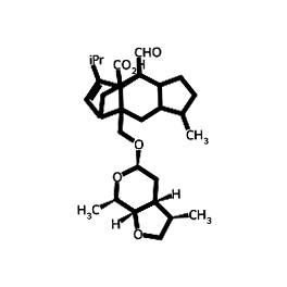 CC(C)C1=CC2CC3(C=O)C4CCC(C)C4CC2(CO[C@H]2C[C@H]4[C@H](OC[C@@H]4C)[C@@H](C)O2)C13C(=O)O